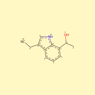 CC(O)c1cccc2c(CC#N)c[nH]c12